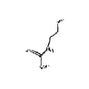 CCCCCNC(=N)SC